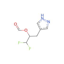 O=COC(Cc1cn[nH]c1)C(F)F